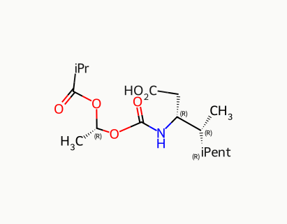 CCC[C@@H](C)[C@@H](C)[C@@H](CC(=O)O)NC(=O)O[C@H](C)OC(=O)C(C)C